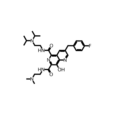 CC(C)N(CCNC(=O)c1nc(C(=O)NCCN(C)C)c(O)c2ncc(Cc3ccc(F)cc3)cc12)C(C)C